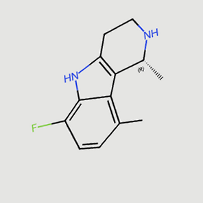 Cc1ccc(F)c2[nH]c3c(c12)[C@@H](C)NCC3